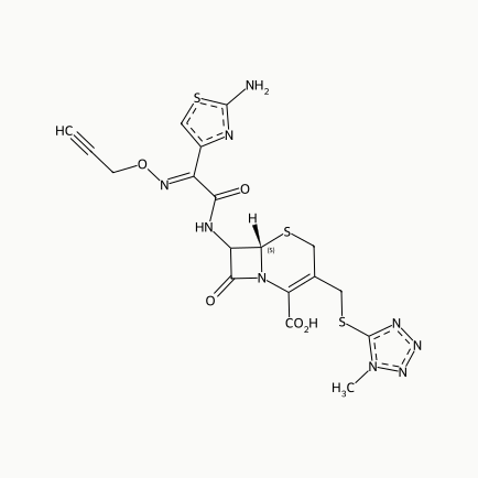 C#CCON=C(C(=O)NC1C(=O)N2C(C(=O)O)=C(CSc3nnnn3C)CS[C@@H]12)c1csc(N)n1